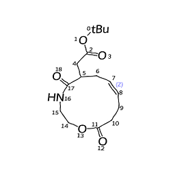 CC(C)(C)OC(=O)CC1C/C=C\CCC(=O)OCCNC1=O